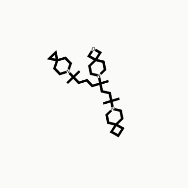 CC(C)(CCCC(C)(CCC(C)(C)N1CCC2(CCC2)CC1)N1CCC2(CC1)COC2)N1CCC2(CC1)CC2